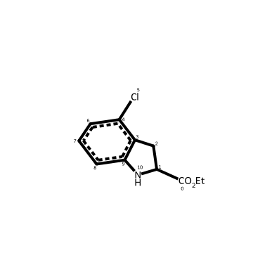 CCOC(=O)C1Cc2c(Cl)cccc2N1